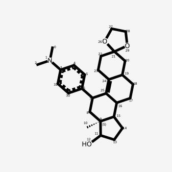 CN(C)c1ccc(C2C[C@]3(C)C(O)CCC3C3CCC4CC5(CCC4=C23)OCCO5)cc1